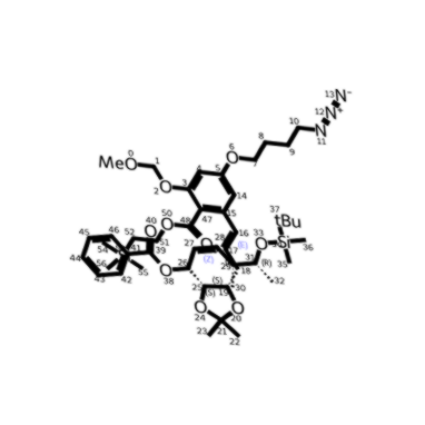 COCOc1cc(OCCCCN=[N+]=[N-])cc(/C=C/C[C@@H]2OC(C)(C)O[C@@H]2C(/C=C\[C@@H](C)[C@@H](C)O[Si](C)(C)C(C)(C)C)OC(=O)c2ccccc2)c1C(=O)OCC[Si](C)(C)C